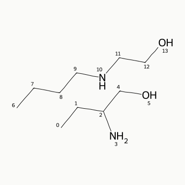 CCC(N)CO.CCCCNCCO